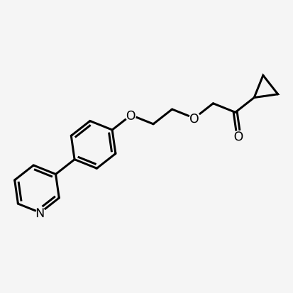 O=C(COCCOc1ccc(-c2cccnc2)cc1)C1CC1